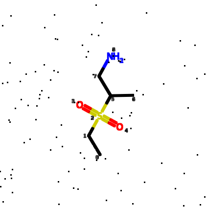 CCS(=O)(=O)C(C)CN